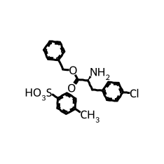 Cc1ccc(S(=O)(=O)O)cc1.N[C@@H](Cc1ccc(Cl)cc1)C(=O)OCc1ccccc1